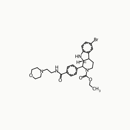 CCOC(=O)N1CCC2c3cc(Br)ccc3N[C@H]2C1c1ccc(C(=O)NCCN2CCOCC2)cc1